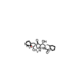 CC(C)[N+]1(Cc2ccncc2)CNC([C@H](O)[C@H](Cc2ccccc2)NC(=O)[O-])C1=O